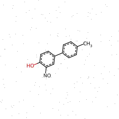 Cc1ccc(-c2ccc(O)c(N=O)c2)cc1